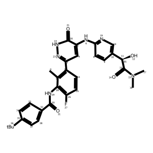 Cc1c(-c2cc(Nc3ccc([C@@H](O)C(=O)N(C)C)cn3)c(=O)[nH]n2)ccc(F)c1NC(=O)c1ccc(C(C)(C)C)cc1